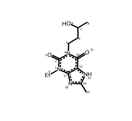 CCn1c(=O)n(CCC(C)O)c(=O)c2[nH]c(C)nc21